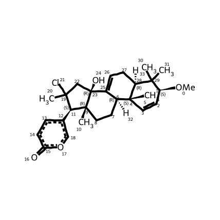 CO[C@H]1C=C[C@]2(C)[C@H]3CC[C@]4(C)[C@@H](c5ccc(=O)oc5)C(C)(Cl)C[C@]4(O)C3=CC[C@H]2C1(C)C